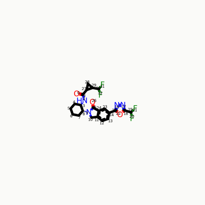 O=C(N[C@@H]1CCCC[C@H]1N1Cc2ccc(-c3nnc(C(F)F)o3)cc2C1=O)C1CC1C(F)F